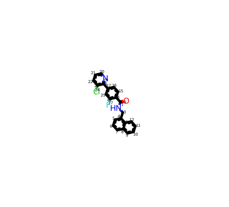 O=C(NCc1cccc2ccccc12)c1ccc(-c2ncccc2Cl)cc1F